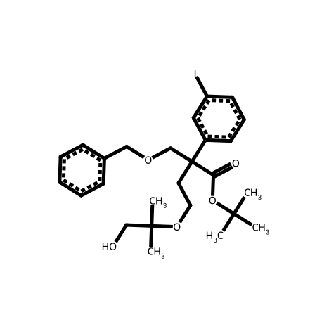 CC(C)(C)OC(=O)C(CCOC(C)(C)CO)(COCc1ccccc1)c1cccc(I)c1